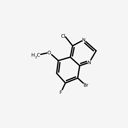 COc1cc(F)c(Br)c2ncnc(Cl)c12